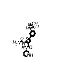 CS(=O)(=O)Nc1cccc(-c2cc(C(=O)N[C@H]3CCCNC3)c(NC(N)=O)s2)c1